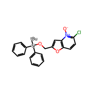 CC(C)(C)[Si](OCc1cc2c(ccc(Cl)[n+]2[O-])o1)(c1ccccc1)c1ccccc1